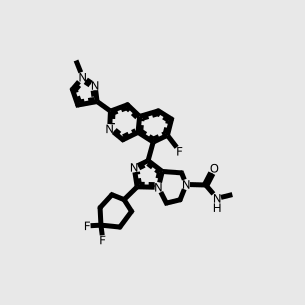 CNC(=O)N1CCn2c(C3CCC(F)(F)CC3)nc(-c3c(F)ccc4cc(-c5ccn(C)n5)ncc34)c2C1